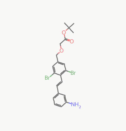 CC(C)(C)OC(=O)COCc1cc(Br)c(C=Cc2cccc(N)c2)c(Br)c1